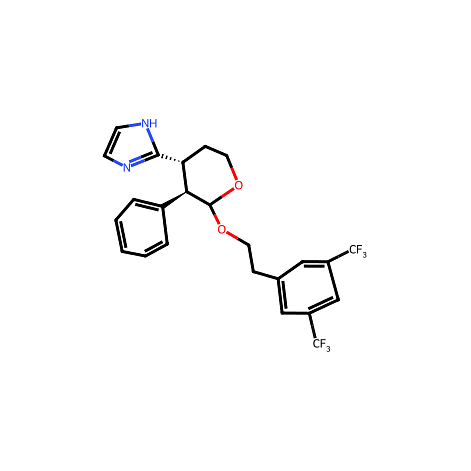 FC(F)(F)c1cc(CCOC2OCC[C@@H](c3ncc[nH]3)[C@@H]2c2ccccc2)cc(C(F)(F)F)c1